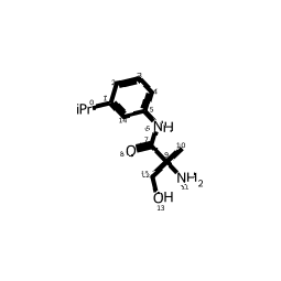 CC(C)c1cccc(NC(=O)C(C)(N)CO)c1